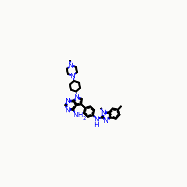 Cc1ccc2nc(Nc3ccc(-c4cn([C@H]5CC[C@H](N6CCN(C)CC6)CC5)c5ncnc(N)c45)cc3)n(C)c2c1